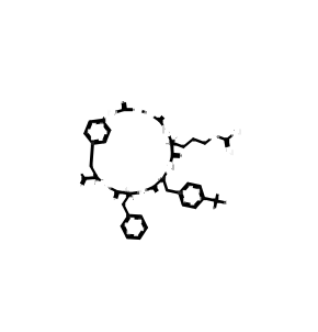 N=C(N)NCCC[C@H]1NC(=O)CCC(=O)Nc2ccc(cc2)C[C@@H](C(=O)O)NC(=O)[C@@H](Cc2ccccc2)NC(=O)[C@H](Cc2ccc(C(F)(F)F)cc2)NC1=O